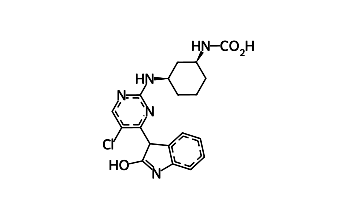 O=C(O)N[C@H]1CCC[C@@H](Nc2ncc(Cl)c(C3C(O)=Nc4ccccc43)n2)C1